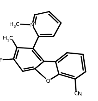 Cc1c(F)cc2oc3c(C#N)cccc3c2c1-c1cccc[n+]1C